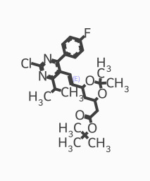 CC(C)c1nc(Cl)nc(-c2ccc(F)cc2)c1/C=C/C1CC(CC(=O)OC(C)(C)C)OC(C)(C)O1